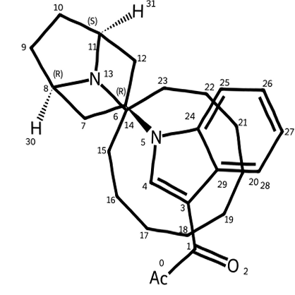 CC(=O)C(=O)c1cn([C@H]2C[C@H]3CC[C@@H](C2)N3C2CCCCCCCCC2)c2ccccc12